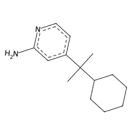 CC(C)(c1ccnc(N)c1)C1CCCCC1